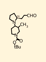 CC1CN(C(=O)OC(C)(C)C)CCC1N1CCC[C@H]1CCC=O